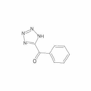 O=C(c1ccccc1)c1nnn[nH]1